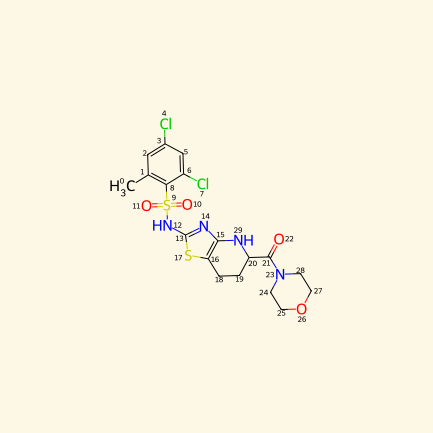 Cc1cc(Cl)cc(Cl)c1S(=O)(=O)Nc1nc2c(s1)CCC(C(=O)N1CCOCC1)N2